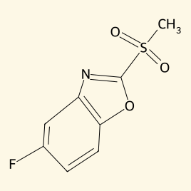 CS(=O)(=O)c1nc2cc(F)ccc2o1